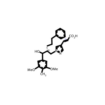 COc1cc(C(O)[C@H](CCCc2ccccc2)Cn2cc(/C=C/C(=O)O)cn2)cc(OC)c1C